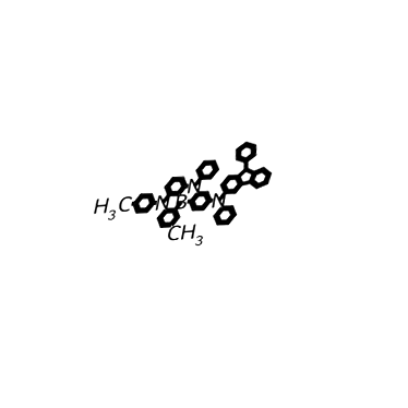 Cc1ccc(N2c3ccc(C)cc3B3c4ccc(N(c5ccccc5)c5ccc6c(c5)-c5ccccc5C6c5ccccc5)cc4N(c4ccccc4)c4cccc2c43)cc1